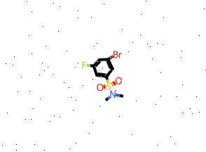 CN(C)S(=O)(=O)c1cc(F)cc(Br)c1